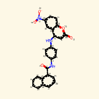 O=C(Nc1ccc(Nc2cc(=O)oc3ccc([N+](=O)[O-])cc23)cc1)c1cccc2ccccc12